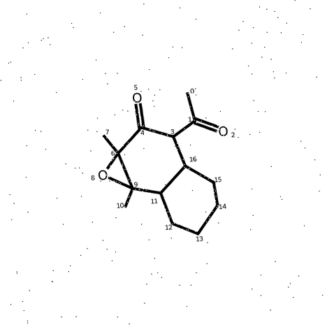 CC(=O)C1C(=O)C2(C)OC2(C)C2CCCCC12